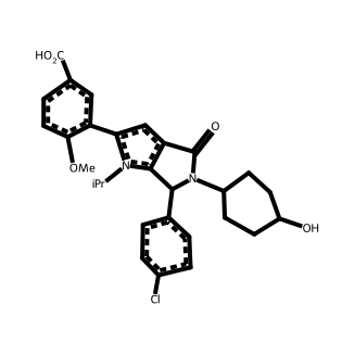 COc1ccc(C(=O)O)cc1-c1cc2c(n1C(C)C)C(c1ccc(Cl)cc1)N(C1CCC(O)CC1)C2=O